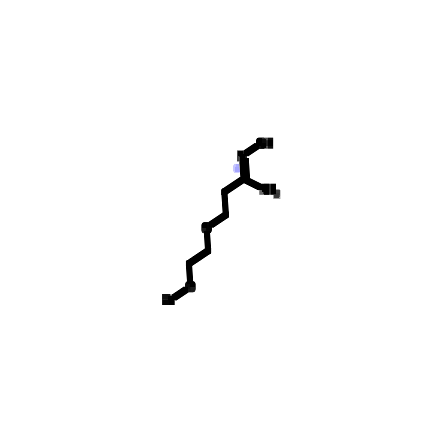 CCOCCOCC/C(N)=N/O